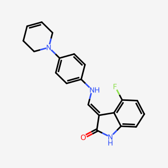 O=C1Nc2cccc(F)c2/C1=C\Nc1ccc(N2CC=CCC2)cc1